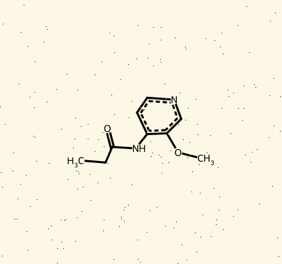 CCC(=O)Nc1ccncc1OC